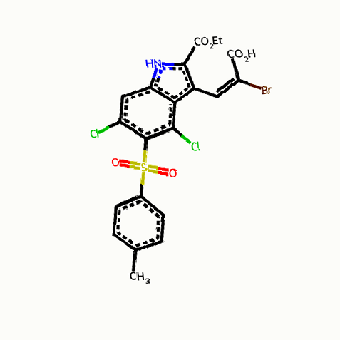 CCOC(=O)c1[nH]c2cc(Cl)c(S(=O)(=O)c3ccc(C)cc3)c(Cl)c2c1/C=C(/Br)C(=O)O